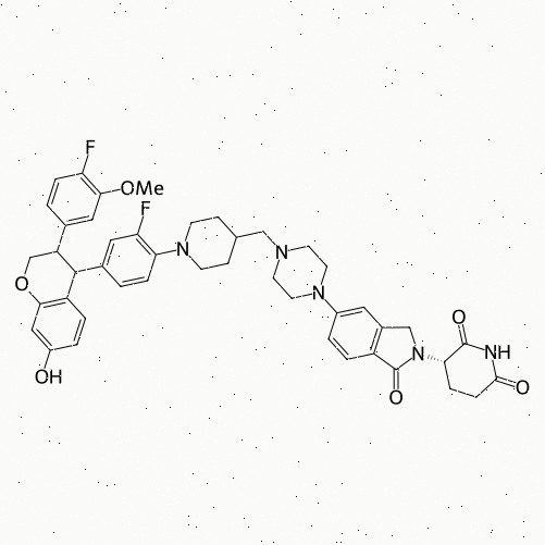 COc1cc(C2COc3cc(O)ccc3C2c2ccc(N3CCC(CN4CCN(c5ccc6c(c5)CN([C@H]5CCC(=O)NC5=O)C6=O)CC4)CC3)c(F)c2)ccc1F